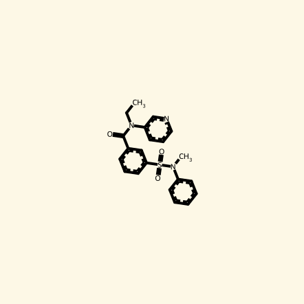 CCN(C(=O)c1cccc(S(=O)(=O)N(C)c2ccccc2)c1)c1cccnc1